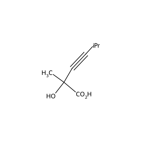 CC(C)C#CC(C)(O)C(=O)O